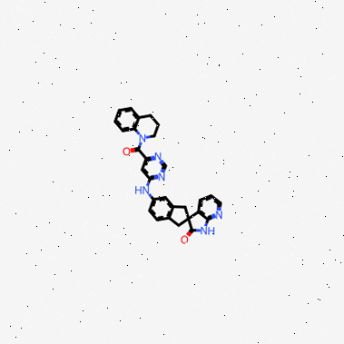 O=C(c1cc(Nc2ccc3c(c2)CC2(C3)C(=O)Nc3ncccc32)ncn1)N1CCCc2ccccc21